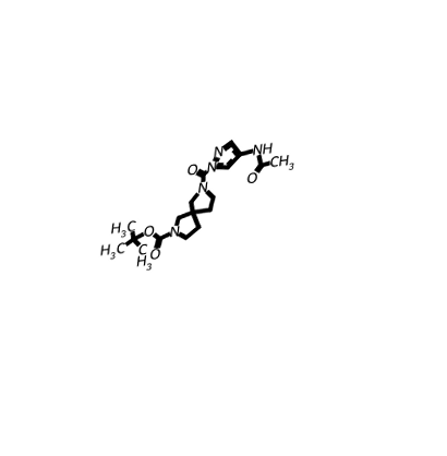 CC(=O)Nc1cnn(C(=O)N2CCC3(CCN(C(=O)OC(C)(C)C)C3)C2)c1